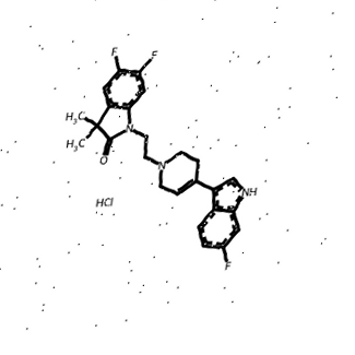 CC1(C)C(=O)N(CCN2CC=C(c3c[nH]c4cc(F)ccc34)CC2)c2cc(F)c(F)cc21.Cl